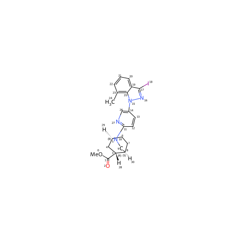 COC(=O)[C@@H]1C[C@H]2CC[C@@H]1CN2c1ccc(-n2nc(I)c3cccc(C)c32)cn1